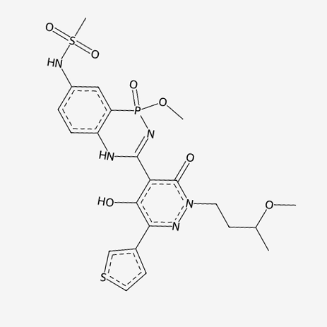 COC(C)CCn1nc(-c2ccsc2)c(O)c(C2=NP(=O)(OC)c3cc(NS(C)(=O)=O)ccc3N2)c1=O